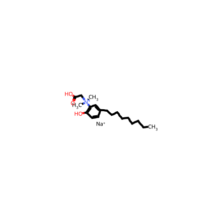 CCCCCCCCCc1ccc(O)c([N+](C)(C)CC(=O)O)c1.[Na+]